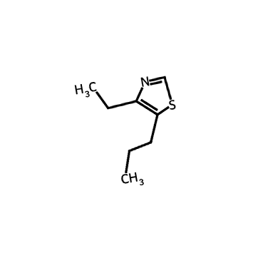 CCCc1scnc1CC